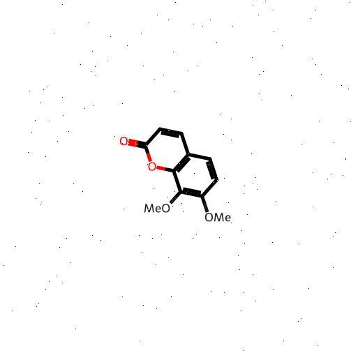 COc1ccc2ccc(=O)oc2c1OC